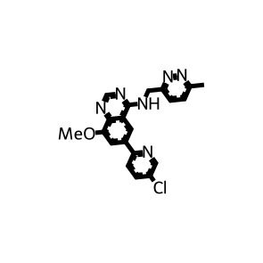 COc1cc(-c2ccc(Cl)cn2)cc2c(NCc3ccc(C)nn3)ncnc12